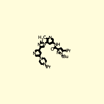 Cc1ncc(NC(=O)c2cc(C(C)C)n(C(C)(C)C)n2)cc1-n1cc(-c2cncc(N3CCN(C(C)C)CC3)c2)nn1